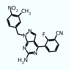 Cc1cc(Cn2ncc3c(-c4cccc(C#N)c4F)nc(N)nc32)ccc1[N+](=O)[O-]